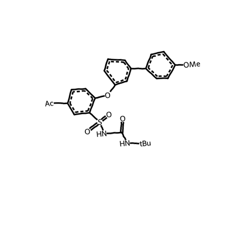 COc1ccc(-c2cccc(Oc3ccc(C(C)=O)cc3S(=O)(=O)NC(=O)NC(C)(C)C)c2)cc1